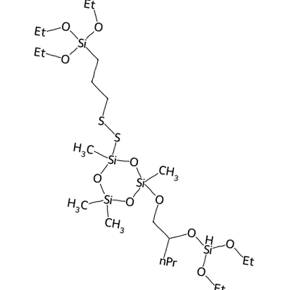 CCCC(CO[Si]1(C)O[Si](C)(C)O[Si](C)(SSCCC[Si](OCC)(OCC)OCC)O1)O[SiH](OCC)OCC